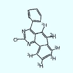 [2H]c1c([2H])c([2H])c2c(c1[2H])c([2H])c([2H])c1c(-c3ccccc3)nc(Cl)nc12